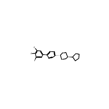 Fc1cc(-c2ccc([C@H]3CC[C@H](C4CCCC4)CC3)cc2)cc(F)c1F